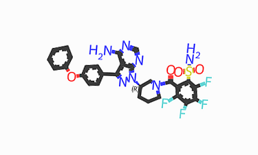 Nc1ncnc2c1c(-c1ccc(Oc3ccccc3)cc1)nn2[C@@H]1CCCN(C(=O)c2c(F)c(F)c(F)c(F)c2S(N)(=O)=O)C1